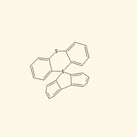 c1ccc2c(c1)Sc1ccccc1S21c2ccccc2-c2ccccc21